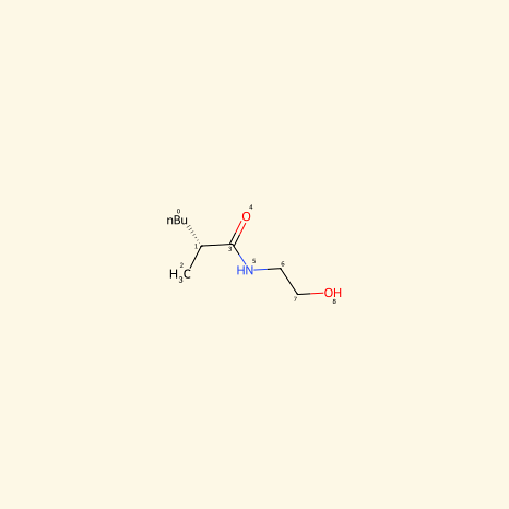 CCCC[C@@H](C)C(=O)NCCO